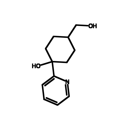 OCC1CCC(O)(c2ccccn2)CC1